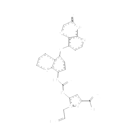 C=CCn1nc(C(=C)C)cc1NC(=O)Nc1ccc(Oc2ccnc3[nH]c(=O)cnc23)c2cccnc12